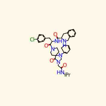 CC(C)NC(=O)CN1CN(C2=CC=CCC2)C2(CCN(C(=O)[C@@H](Cc3ccc(Cl)cc3)NC(=O)[C@H]3Cc4ccccc4CN3)CC2)C1=O